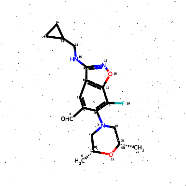 C[C@@H]1CN(c2c(C=O)cc3c(NCC4CC4)noc3c2F)C[C@H](C)O1